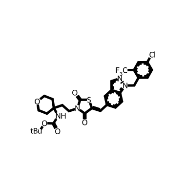 CC(C)(C)OC(=O)NC1(CCN2C(=O)SC(=Cc3ccc4c(cnn4Cc4ccc(Cl)cc4C(F)(F)F)c3)C2=O)CCOCC1